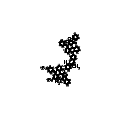 CC(C)(C)c1ccc(N2c3cc(C(C)(C)C)ccc3B3c4c2cccc4N(c2ccc(C(C)(C)Cc4ccc(N5c6ccccc6B6C7=C(N(c8ccccc8)c8cccc5c86)C(C)(C)c5c7sc6ccccc56)cc4)cc2)c2sc4c(c23)C(C)(C)c2ccccc2-4)cc1